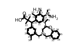 CC[C@@H]1CN(Cc2cc(C(c3ccc(N(C)N)c(N)c3C)C(C)(C)C(=O)O)ccc2C)Cc2ccccc2O1